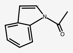 CC(=O)n1[c]cc2ccccc21